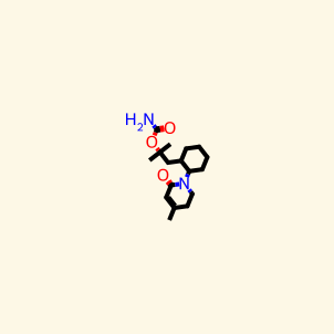 CC1=CC(=O)N(C2CCCCC2CC(C)(C)OC(N)=O)CC1